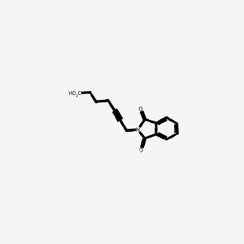 O=C(O)CCCC#CCN1C(=O)c2ccccc2C1=O